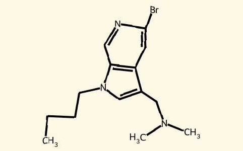 CCCCn1cc(CN(C)C)c2cc(Br)ncc21